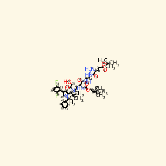 CC(C)(C)OC(=O)CC[C@@H](N)C(=O)NCCNC(=O)[C@H](CCN(C(=O)CO)[C@@H](c1cc(-c2cc(F)ccc2F)cn1Cc1ccccc1)C(C)(C)C)NC(=O)OCC[Si](C)(C)C